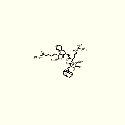 CC(C)(C)OC(=O)NC(CC12CC3CC(CC(C3)C1)C2)C(=O)NC(CCCNC(=N)N)C(=O)NC(Cc1ccccc1)C(=O)NC(CCCCNC(=O)O)C(N)=O